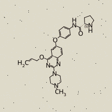 C=CCOc1nc(N2CCN(C)CC2)nc2ccc(Oc3ccc(NC(=O)[C@@H]4CCCN4)cc3)cc12